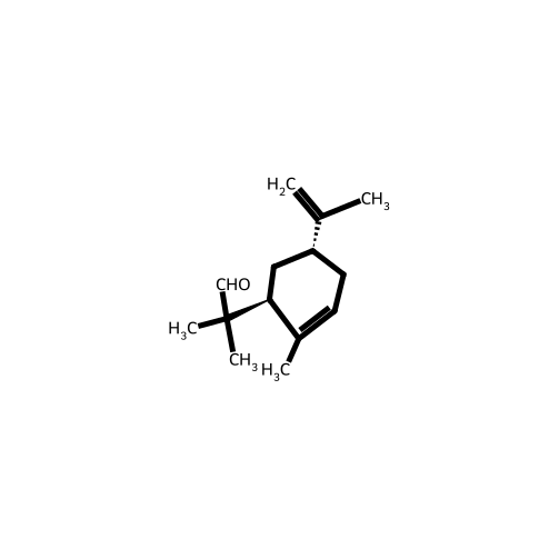 C=C(C)[C@@H]1CC=C(C)[C@@H](C(C)(C)C=O)C1